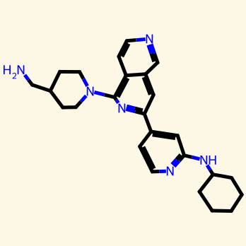 NCC1CCN(c2nc(-c3ccnc(NC4CCCCC4)c3)cc3cnccc23)CC1